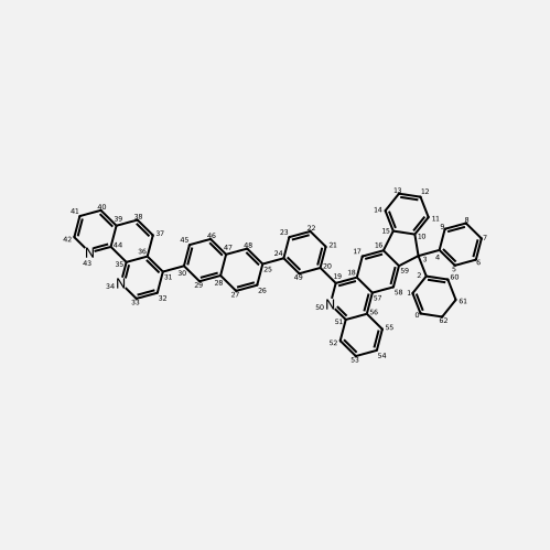 C1=CC(C2(c3ccccc3)c3ccccc3-c3cc4c(-c5cccc(-c6ccc7cc(-c8ccnc9c8ccc8cccnc89)ccc7c6)c5)nc5ccccc5c4cc32)=CCC1